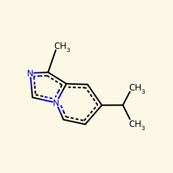 Cc1ncn2ccc(C(C)C)cc12